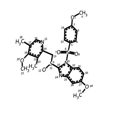 COc1ccc(S(=O)(=O)n2c([S+]([O-])Cc3ncc(C)c(OC)c3C)nc3cc(OC)ccc32)cc1